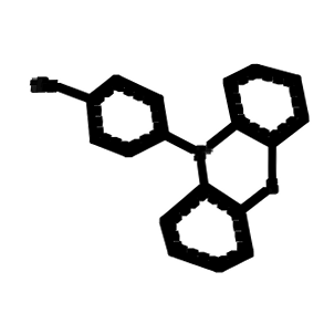 CC(C)(C)c1ccc([S+]2c3ccccc3Sc3ccccc32)cc1